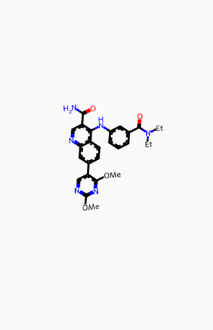 CCN(CC)C(=O)c1cccc(Nc2c(C(N)=O)cnc3cc(-c4cnc(OC)nc4OC)ccc23)c1